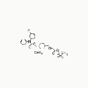 CC(C)OC(=O)COC[C@H]1CC[C@H](COC(=O)N(c2ccccc2)c2cccc(F)c2)CC1.[CaH2]